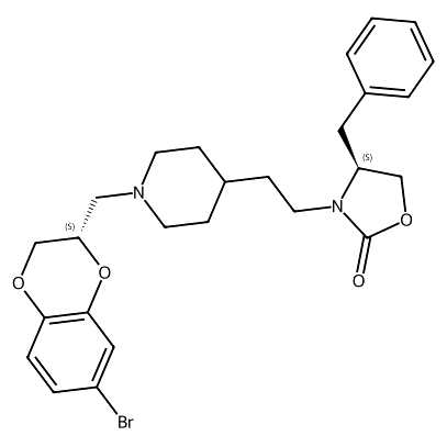 O=C1OC[C@H](Cc2ccccc2)N1CCC1CCN(C[C@H]2COc3ccc(Br)cc3O2)CC1